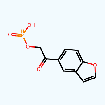 O=C(CO[PH](=O)O)c1ccc2occc2c1